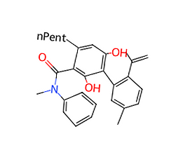 C=C(C)c1ccc(C)cc1-c1c(O)cc(CCCCC)c(C(=O)N(C)c2ccccc2)c1O